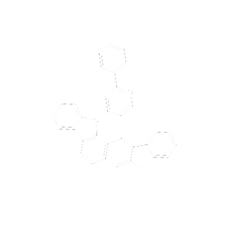 c1ccc(-c2cc(-n3c4ccccc4c4ccc5cc6oc7ccccc7c6cc5c43)ccn2)cc1